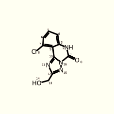 O=c1[nH]c2cccc(Cl)c2c2nc(CO)nn12